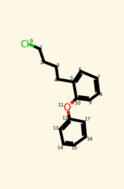 ClCCCCc1ccccc1Oc1ccccc1